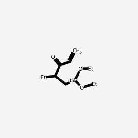 C=CC(=O)C(CC)C[SiH](OCC)OCC